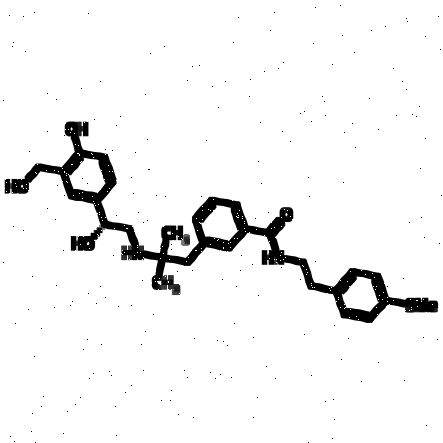 CSc1ccc(CCNC(=O)c2cccc(CC(C)(C)NC[C@H](O)c3ccc(O)c(CO)c3)c2)cc1